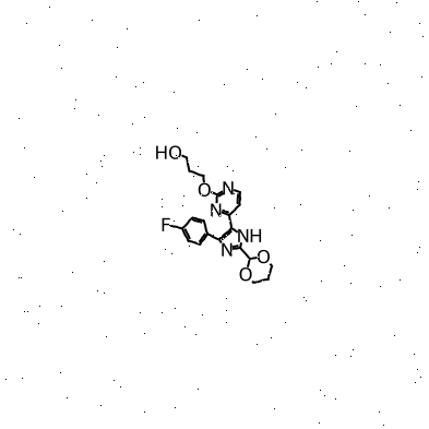 OCCCOc1nccc(-c2[nH]c(C3OCCCO3)nc2-c2ccc(F)cc2)n1